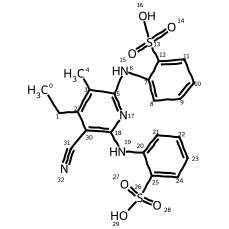 CCc1c(C)c(Nc2ccccc2S(=O)(=O)O)nc(Nc2ccccc2S(=O)(=O)O)c1C#N